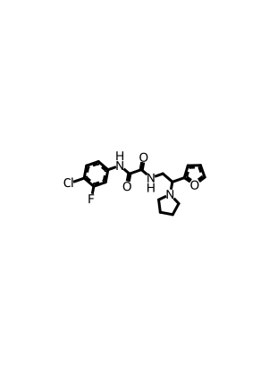 O=C(NCC(c1ccco1)N1CCCC1)C(=O)Nc1ccc(Cl)c(F)c1